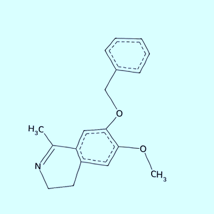 COc1cc2c(cc1OCc1ccccc1)C(C)=NCC2